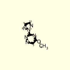 COc1cnnc(-n2nccn2)n1